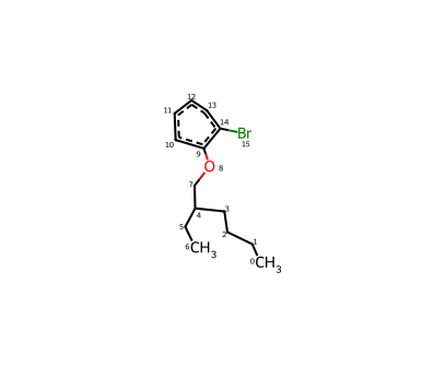 CCCCC(CC)COc1ccccc1Br